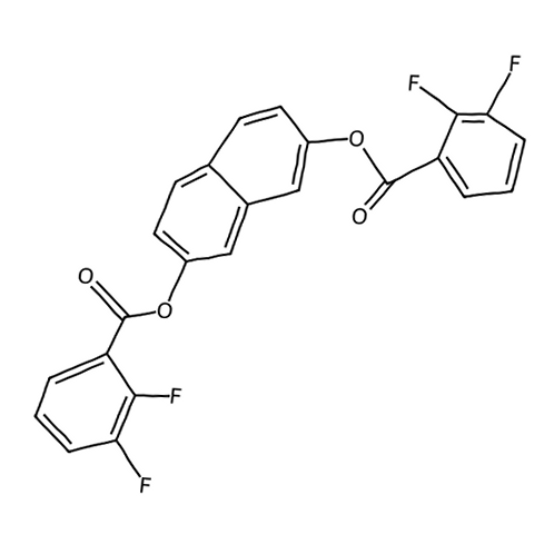 O=C(Oc1ccc2ccc(OC(=O)c3cccc(F)c3F)cc2c1)c1cccc(F)c1F